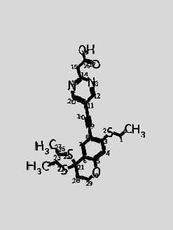 CCSc1cc2c(cc1C#Cc1cnc(CC(=O)O)nc1)C(SCC)(SCC)CCO2